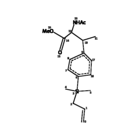 C=CC[Si](C)(C)c1ccc(C(C)C(NC(C)=O)C(=O)OC)cc1